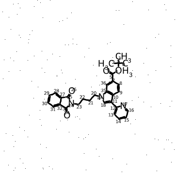 CC(C)(C)OC(=O)c1ccc2c(-c3ccccn3)cn(CCCCN3C(=O)c4ccccc4C3=O)c2c1